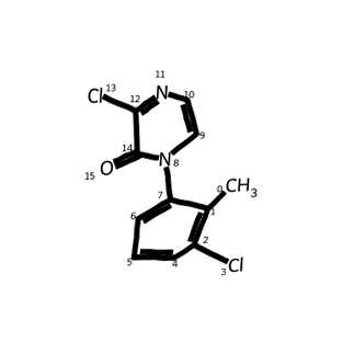 Cc1c(Cl)cccc1-n1ccnc(Cl)c1=O